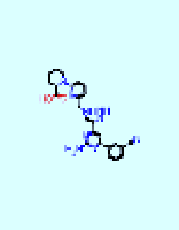 N#Cc1cccc(-c2cc(/C(=C/NCc3cccc(N4CCCCC4C(=O)O)n3)N=N)nc(N)n2)c1